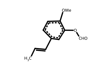 CC=Cc1ccc(OC)c(OC=O)c1